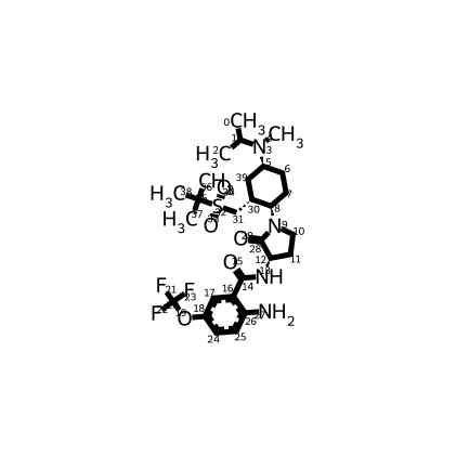 CC(C)N(C)[C@@H]1CC[C@H](N2CC[C@H](NC(=O)c3cc(OC(F)(F)F)ccc3N)C2=O)[C@H](CS(=O)(=O)C(C)(C)C)C1